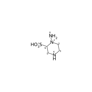 NN1CCNCC1S(=O)(=O)O